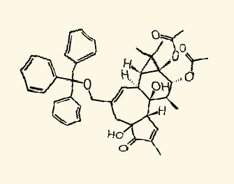 CC(=O)O[C@@H]1[C@@H](C)[C@]2(O)[C@@H]3C=C(C)C(=O)C3(O)CC(COC(c3ccccc3)(c3ccccc3)c3ccccc3)=C[C@H]2[C@@H]2C(C)(C)[C@]12OC(C)=O